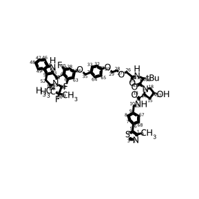 Cc1ncsc1-c1ccc(CNC(=O)[C@@H]2C[C@@H](O)CN2C(=O)[C@@H](NC(=O)COCCOc2ccc(COc3cc(F)c([C@@H]4c5[nH]c6ccccc6c5C[C@@H](C)N4CC(C)(C)F)c(F)c3)cc2)C(C)(C)C)cc1